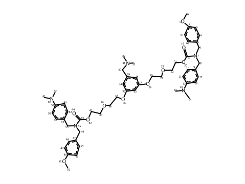 COc1ccc(CN(Cc2ccc(N(C)C)cc2)C(=O)OCCOCCOc2cc(CN(C)C)cc(OCCOCCOC(=O)N(Cc3ccc(OC)cc3)Cc3ccc(N(C)C)cc3)c2)cc1